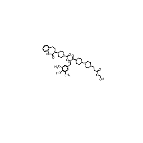 Cc1cc(C[C@@H](OC(=O)N2CCC(N3CCc4ccccc4NC3=O)CC2)C(=O)N2CCC(N3CCC(CCC(=O)OCO)CC3)CC2)cc(C)c1O